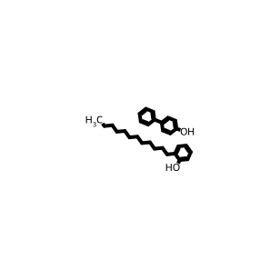 CCCCCCCCCCCCc1ccccc1O.Oc1ccc(-c2ccccc2)cc1